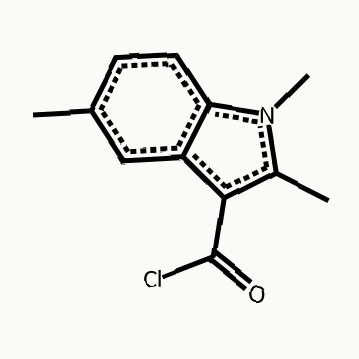 Cc1ccc2c(c1)c(C(=O)Cl)c(C)n2C